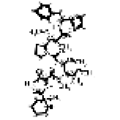 CC[C@H](C)[C@@H]([C@H](CC(=O)N1CCC[C@H]1[C@H](OC)[C@@H](C)C(=O)N[C@@H](Cc1ccccc1)c1nccs1)OC)N(C)C(=O)[C@@H](NC(=O)[C@@]1(C)CCCCN1)C(C)C